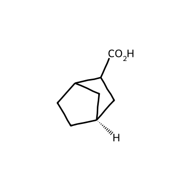 O=C(O)C1C[C@H]2CCC1C2